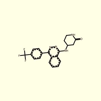 O=C1CC(Nc2nnc(-c3ccc(C(F)(F)F)cc3)c3ccccc23)CCN1